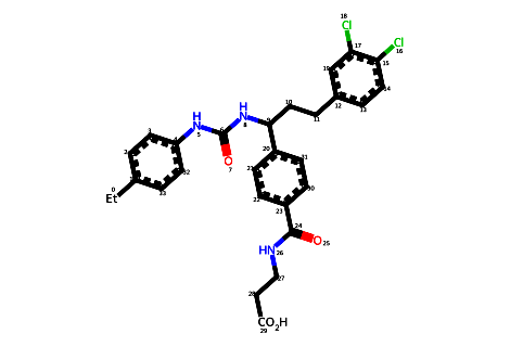 CCc1ccc(NC(=O)NC(CCc2ccc(Cl)c(Cl)c2)c2ccc(C(=O)NCCC(=O)O)cc2)cc1